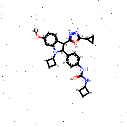 CCOc1ccc2c(c1)N(C1CCC1)C(c1ccc(NC(=O)NC3CCC3)cc1)C2c1nnc(C2CC2)o1